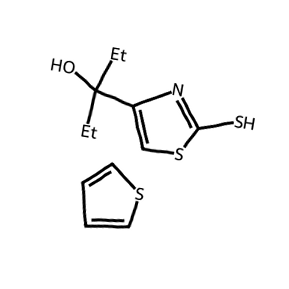 CCC(O)(CC)c1csc(S)n1.c1ccsc1